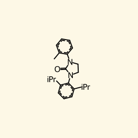 Cc1ccccc1N1CCN(c2c(C(C)C)cccc2C(C)C)C1=O